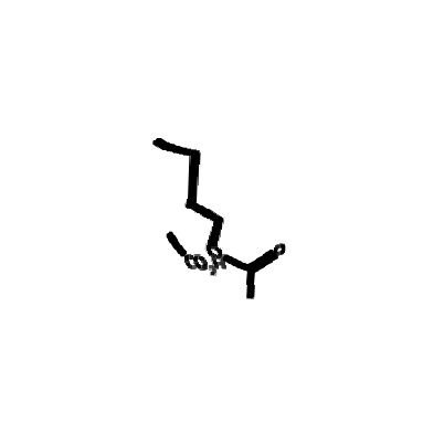 CC(=O)O.CCCCOC(C)=O